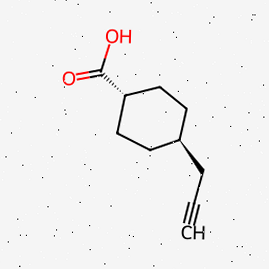 C#CC[C@H]1CC[C@H](C(=O)O)CC1